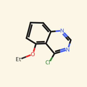 CCOc1cccc2ncnc(Cl)c12